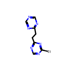 CCc1ncnc(CCc2ncncn2)n1